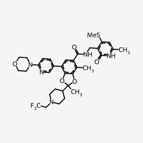 CSc1cc(C)[nH]c(=O)c1CNC(=O)c1cc(-c2ccc(N3CCOCC3)nc2)c2c(c1C)OC(C)(C1CCN(CC(F)(F)F)CC1)O2